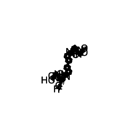 COC(=O)N[C@H](C(=O)N1CCC[C@H]1c1nc2ccc3cc(-c4ccc5c(ccc6nc([C@@H]7C[C@H](COC(F)F)CN7C(=O)[C@@H](NC(=O)O)C(C)C)[nH]c65)c4)ccc3c2[nH]1)C(C)C